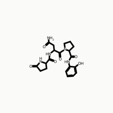 NC(=O)CC(NC(=O)C1CCC(=O)N1)C(=O)N1CCCC1C(=O)Nc1ccccc1O